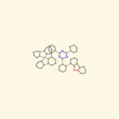 c1ccc(-c2nc(-c3ccccc3-c3cccc4c3C3(c5ccccc5-c5ccccc53)c3ccccc3-4)nc(-c3ccccc3-c3cccc4c3oc3ccccc34)n2)cc1